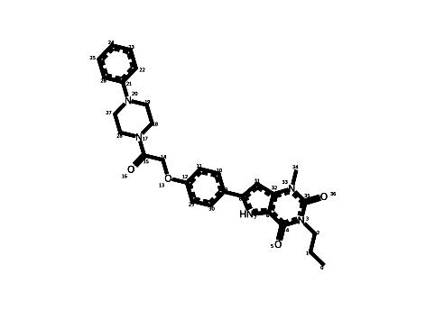 CCCn1c(=O)c2[nH]c(-c3ccc(OCC(=O)N4CCN(c5ccccc5)CC4)cc3)cc2n(C)c1=O